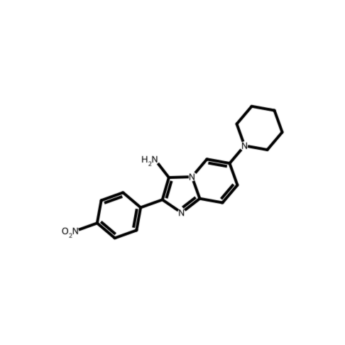 Nc1c(-c2ccc([N+](=O)[O-])cc2)nc2ccc(N3CCCCC3)cn12